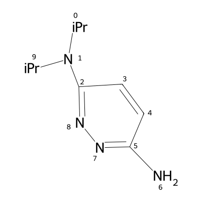 CC(C)N(c1ccc(N)nn1)C(C)C